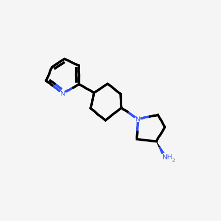 N[C@@H]1CCN(C2CCC(c3ccccn3)CC2)C1